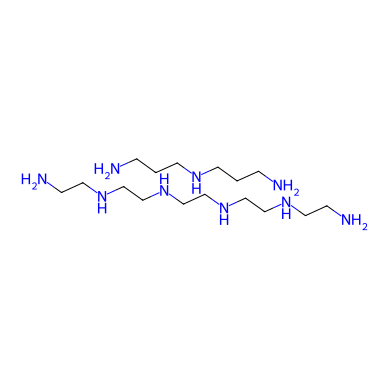 NCCCNCCCN.NCCNCCNCCNCCNCCN